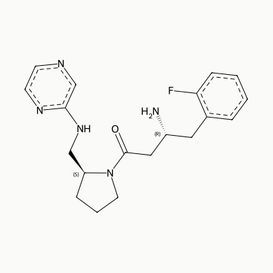 N[C@@H](CC(=O)N1CCC[C@H]1CNc1cnccn1)Cc1ccccc1F